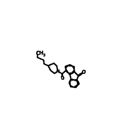 CCCCC1CCN(C(=O)c2cccc3c2-c2ccccc2C3=O)CC1